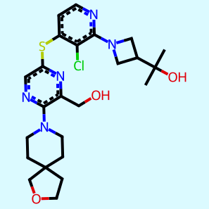 CC(C)(O)C1CN(c2nccc(Sc3cnc(N4CCC5(CCOC5)CC4)c(CO)n3)c2Cl)C1